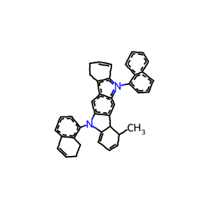 CC1C=CC=C2C1c1cc3c(cc1N2c1cccc2c1CCC=C2)c1c(n3-c2cccc3ccccc23)C=CCC1